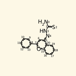 NC(=S)NN=c1cc(-c2ccccc2)oc2ccccc12